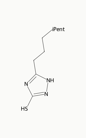 CCCC(C)CCCc1nc(S)n[nH]1